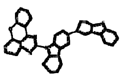 c1ccc2c(c1)Oc1cccc3nc(-n4c5ccccc5c5cc(-c6ccc7sc8ccccc8c7c6)ccc54)nc-2c13